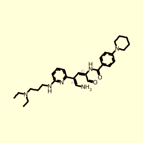 CCN(CC)CCCNc1cccc(C(/C=C(\C=O)NC(=O)c2ccc(N3CCCCC3)cc2)=C/N)n1